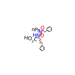 CCCN(C(=O)Cc1ccccc1)C(=O)N[C@@H](CSCc1ccccc1)C(=O)O